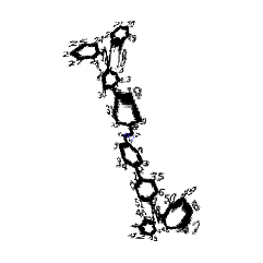 C1=C(c2ccc(/C=C/c3ccc(-c4ccc(N(c5ccccc5)c5ccccc5)cc4)cc3)cc2)CCC(N(c2ccccc2)c2ccccc2)=C1